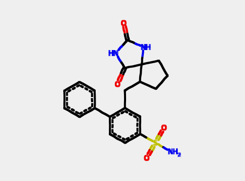 NS(=O)(=O)c1ccc(-c2ccccc2)c(CC2CCCC23NC(=O)NC3=O)c1